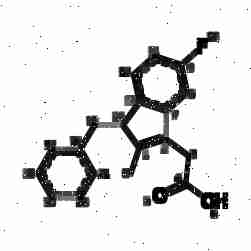 CC1=C(CC(=O)O)c2cc(F)ccc2C1Cc1ccccc1